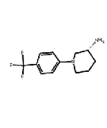 N[C@@H]1CCCN(c2ccc(C(F)(F)F)cc2)C1